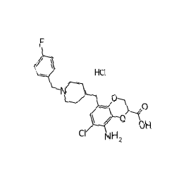 Cl.Nc1c(Cl)cc(CC2CCN(Cc3ccc(F)cc3)CC2)c2c1OC(C(=O)O)CO2